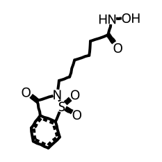 O=C(CCCCCN1C(=O)c2ccccc2S1(=O)=O)NO